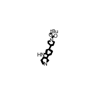 CC(C)(C)OC(=O)N1CC=C(c2ccc3c(c2)[nH]c2ccncc23)CC1